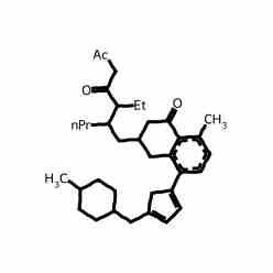 CCCC(CC1CC(=O)c2c(C)ccc(C3=CC=C(CC4CCC(C)CC4)C3)c2C1)C(CC)C(=O)CC(C)=O